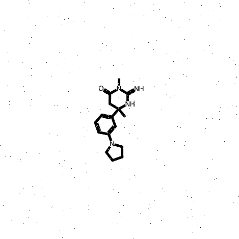 CN1C(=N)NC(C)(c2cccc(N3CCCC3)c2)CC1=O